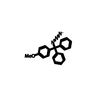 COc1ccc(C(N=[N+]=[N-])(c2ccccc2)c2ccccc2)cc1